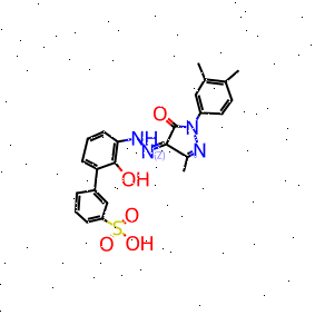 CC1=NN(c2ccc(C)c(C)c2)C(=O)/C1=N\Nc1cccc(-c2cccc(S(=O)(=O)O)c2)c1O